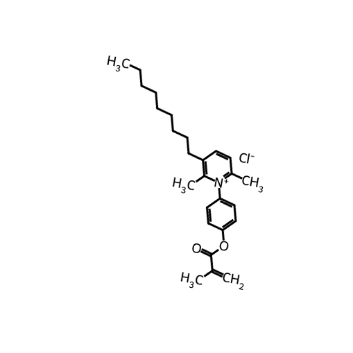 C=C(C)C(=O)Oc1ccc(-[n+]2c(C)ccc(CCCCCCCCC)c2C)cc1.[Cl-]